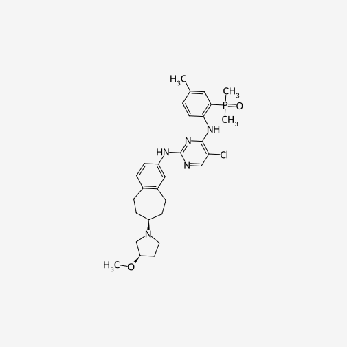 CO[C@@H]1CCN([C@H]2CCc3ccc(Nc4ncc(Cl)c(Nc5ccc(C)cc5P(C)(C)=O)n4)cc3CC2)C1